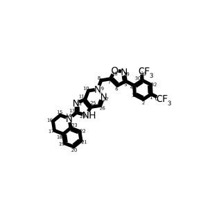 FC(F)(F)c1ccc(-c2cc(CN3Cc4nc(N5CCCc6ccccc65)[nH]c4C=N3)on2)c(C(F)(F)F)c1